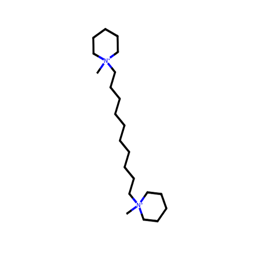 C[N+]1(CCCCCCCCCC[N+]2(C)CCCCC2)CCCCC1